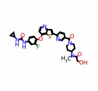 CN(C(=O)CO)C1CCN(C(=O)c2ccc(-c3cc4nccc(Oc5ccc(NC(=O)NC6CC6)cc5F)c4s3)nc2)CC1